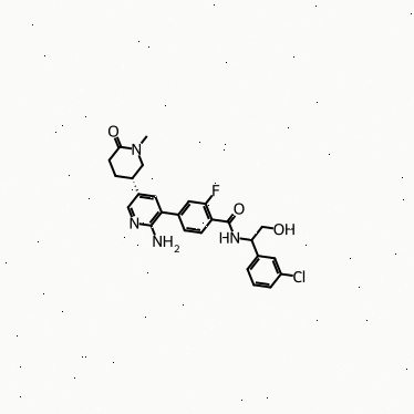 CN1C[C@H](c2cnc(N)c(-c3ccc(C(=O)NC(CO)c4cccc(Cl)c4)c(F)c3)c2)CCC1=O